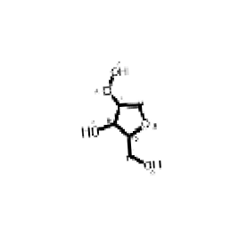 OCC1O[CH]C(OO)C1O